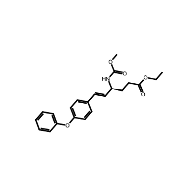 CCOC(=O)CC[C@@H](/C=C/c1ccc(Oc2ccccc2)cc1)NC(=O)OC